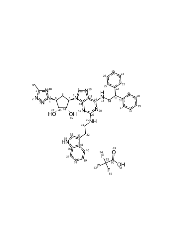 Cc1nnn([C@H]2C[C@@H](n3cnc4c(NCC(c5ccccc5)c5ccccc5)nc(NCCc5c[nH]c6ccccc56)nc43)[C@H](O)[C@@H]2O)n1.O=C(O)C(F)(F)F